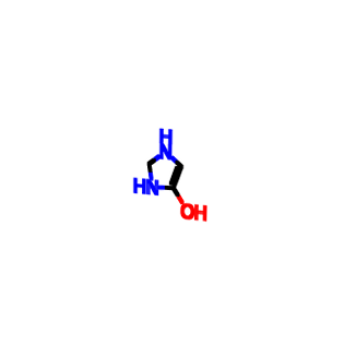 OC1=CNCN1